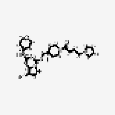 CC(C)c1cnn2c(NCC3CCN(C(=O)C=CCN4CCCC4)CC3)nc(NC3CCOCC3)nc12